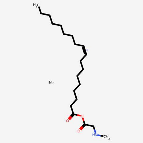 CCCCCCCC/C=C\CCCCCCCC(=O)OC(=O)CNC.[Na]